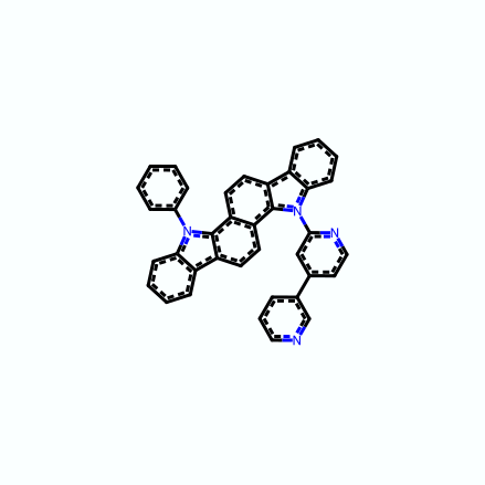 c1ccc(-n2c3ccccc3c3ccc4c(ccc5c6ccccc6n(-c6cc(-c7cccnc7)ccn6)c54)c32)cc1